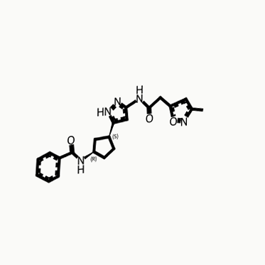 Cc1cc(CC(=O)Nc2cc([C@H]3CC[C@@H](NC(=O)c4ccccc4)C3)[nH]n2)on1